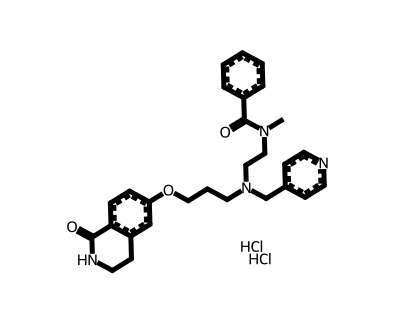 CN(CCN(CCCOc1ccc2c(c1)CCNC2=O)Cc1ccncc1)C(=O)c1ccccc1.Cl.Cl